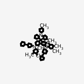 Cc1ccc(N2c3ccccc3C(c3ccc(N(c4ccc(-c5ccccc5)cc4)c4cc(C)c(C)cc4C)cc3)(c3ccc(N(c4ccc(-c5ccccc5)cc4)c4cc(C)c(C)cc4C)cc3)c3cc(C)ccc32)cc1